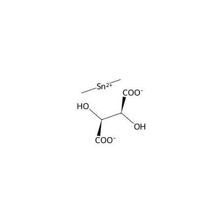 O=C([O-])[C@@H](O)[C@H](O)C(=O)[O-].[CH3][Sn+2][CH3]